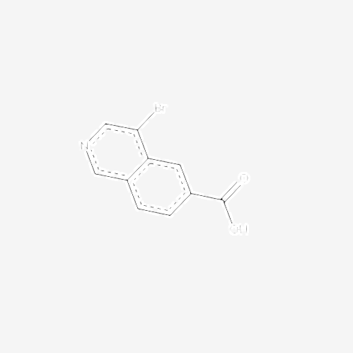 O=C(O)c1ccc2cncc(Br)c2c1